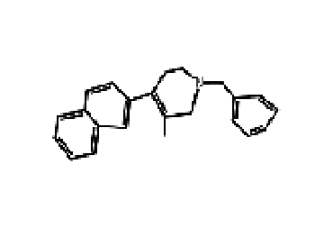 CC1=C(c2ccc3ccccc3c2)CCN(Cc2ccccc2)C1